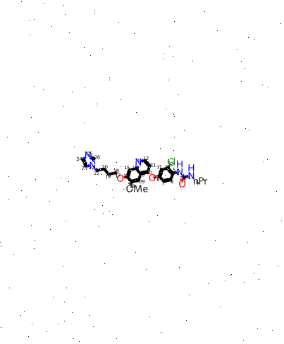 CCCNC(=O)Nc1ccc(Oc2ccnc3cc(OCCCCn4ccnc4)c(OC)cc23)cc1Cl